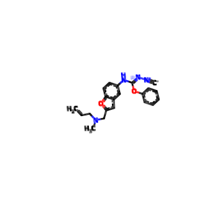 [C-]#[N+]/N=C(/Nc1ccc2oc(CN(C)CC=C)cc2c1)Oc1ccccc1